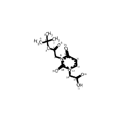 CC(C)(C)OC(=O)Cn1c(=O)ccn(CC(=O)O)c1=O